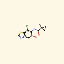 CC1(C(=O)Nc2c(Br)cc3ncsc3c2Cl)CC1